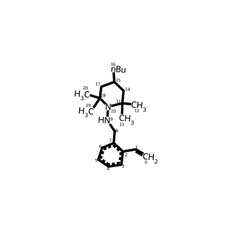 C=Cc1ccccc1CNN1C(C)(C)CC(CCCC)CC1(C)C